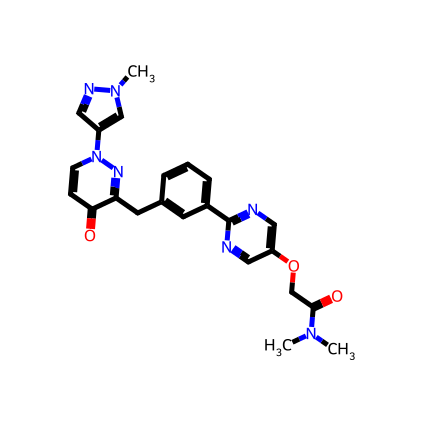 CN(C)C(=O)COc1cnc(-c2cccc(Cc3nn(-c4cnn(C)c4)ccc3=O)c2)nc1